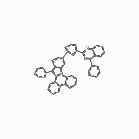 c1ccc(-c2nc(-c3cccc(-c4ccc5c(-c6ccccc6)c6c7ccccc7c7ccccc7n6c5c4)c3)nc3ccccc23)cc1